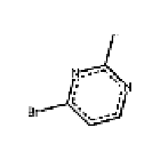 [CH2]c1nccc(Br)n1